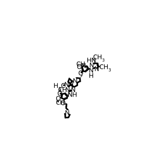 CNc1cc(C)nc(Nc2cnc(OC)c(OC[C@@H]3CC(Cc4cc(NC)nc(Nc5cc(OC)c(OC)c(OCCCN6CCCC6)c5)n4)N(C4CCC4)C3)c2)n1